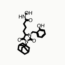 O=C(CCCC1C(=O)N(C23CC4CC(CC(C4)C2)C3)C(=O)N1Cc1ccccc1O)NO